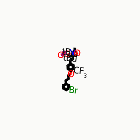 CC1=NC(C=Cc2ccc(OCCCc3cccc(Br)c3)c(C(F)(F)F)c2)(COP(=O)(C(C)(C)C)C(C)(C)C)CO1